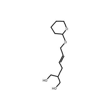 OCC(CO)CC=CCOC1CCCCO1